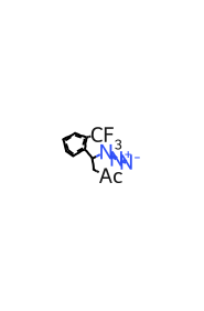 CC(=O)CC(N=[N+]=[N-])c1ccccc1C(F)(F)F